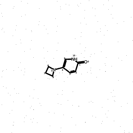 O=c1ccc(N2CCC2)c[nH]1